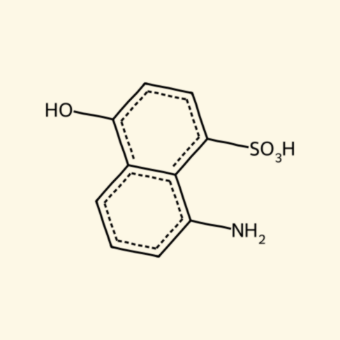 Nc1cccc2c(O)ccc(S(=O)(=O)O)c12